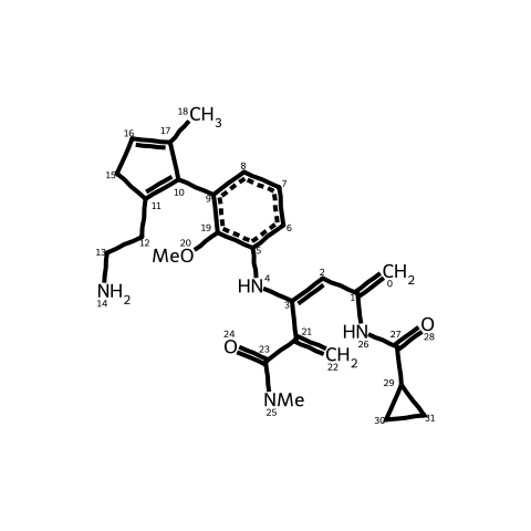 C=C(/C=C(/Nc1cccc(C2=C(CCN)CC=C2C)c1OC)C(=C)C(=O)NC)NC(=O)C1CC1